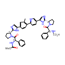 COC(=O)N[C@@H](C(=O)N1CCC[C@H]1c1ncc(-c2ccc(-c3ccc(-c4cnc([C@@H]5CCCN5C(=O)[C@H](NC(=O)O)c5ccccc5)[nH]4)cn3)c(C)c2)[nH]1)c1ccccc1